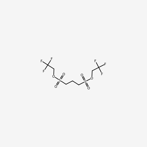 O=S(=O)(CCCS(=O)(=O)OCC(F)(F)F)OCC(F)(F)F